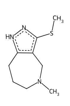 CSc1n[nH]c2c1CN(C)CCC2